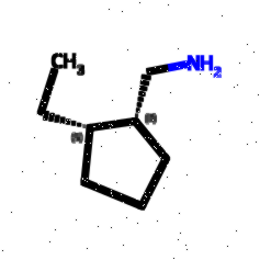 CC[C@H]1CCC[C@H]1CN